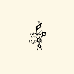 Cc1c(C2CC(F)(F)C2)nn(C2CCC2)c1NC(=O)NC1CC(F)(F)C1